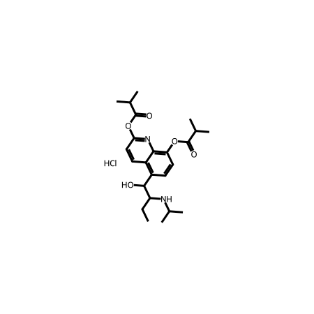 CCC(NC(C)C)C(O)c1ccc(OC(=O)C(C)C)c2nc(OC(=O)C(C)C)ccc12.Cl